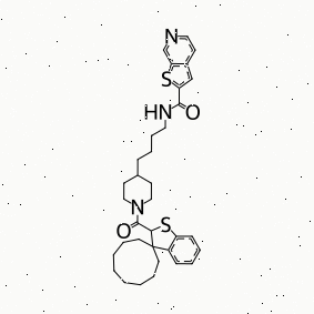 O=C(NCCCCC1CCN(C(=O)C2Sc3ccccc3C23CCCCCCCC3)CC1)c1cc2ccncc2s1